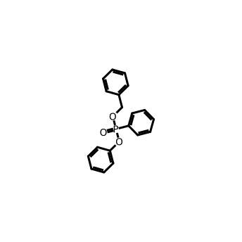 O=P(OCc1ccccc1)(Oc1ccccc1)c1ccccc1